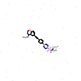 CCC[C@H](NS(=O)(=O)N1CCN(c2ccc(C#Cc3ccc4c(c3)C(=NOC)CCO4)cc2)CC1)C(=O)O